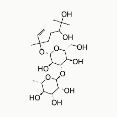 C=CC(C)(CCC(O)C(C)(C)O)O[C@@H]1O[C@H](CO)[C@@H](O)[C@H](O[C@@H]2O[C@@H](C)[C@H](O)[C@@H](O)[C@H]2O)[C@H]1O